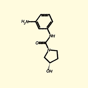 Nc1cccc(NC(=O)N2CC[C@H](O)C2)c1